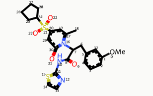 COc1cccc(CC(C(=O)Nc2nccs2)n2c(C)cc(S(=O)(=O)C3CCCC3)cc2=O)c1